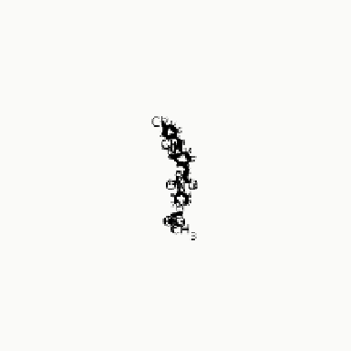 CS(=O)(=O)CCN1CCC(N2C(=O)SC(=Cc3ccc4c(cnn4Cc4ccc(Cl)cc4C(F)(F)F)c3)C2=O)CC1